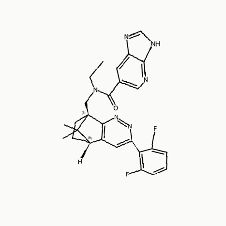 CCN(C[C@@]12CC[C@@H](c3cc(-c4c(F)cccc4F)nnc31)C2(C)C)C(=O)c1cnc2[nH]cnc2c1